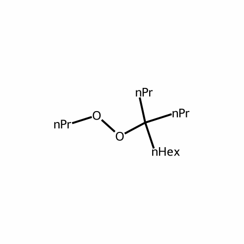 CCCCCCC(CCC)(CCC)OOCCC